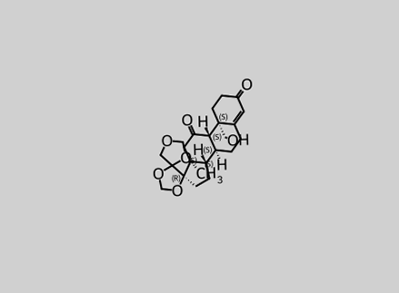 C[C@]12CC(=O)[C@H]3[C@@H](CCC4=CC(=O)CC[C@@]43CO)[C@@H]1CC[C@@]21OCOC12COCO2